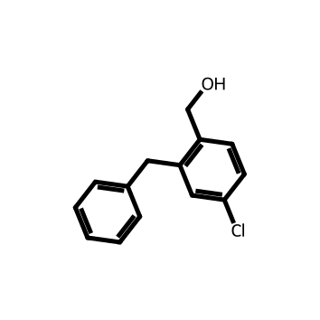 OCc1ccc(Cl)cc1Cc1ccccc1